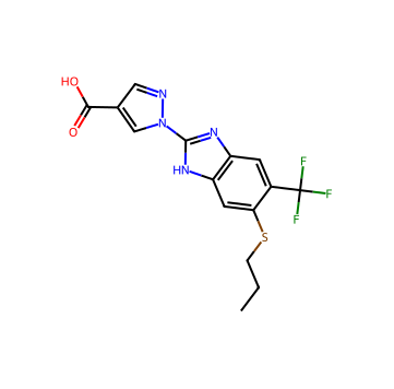 CCCSc1cc2[nH]c(-n3cc(C(=O)O)cn3)nc2cc1C(F)(F)F